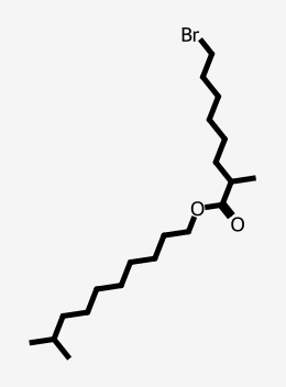 CC(C)CCCCCCCCOC(=O)C(C)CCCCCCBr